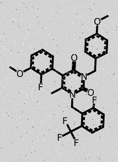 COc1ccc(Cn2c(=O)c(-c3cccc(OC)c3F)c(C)n(Cc3c(F)cccc3C(F)(F)F)c2=O)cc1